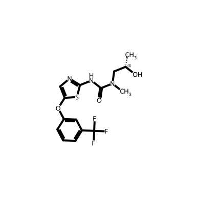 C[C@H](O)CN(C)C(=O)Nc1ncc(Oc2cccc(C(F)(F)F)c2)s1